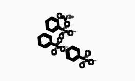 O=S(=O)([O-])c1ccccc1.O=S(=O)([O-])c1ccccc1.O=S(=O)([O-])c1ccccc1.[O]=[V+3]